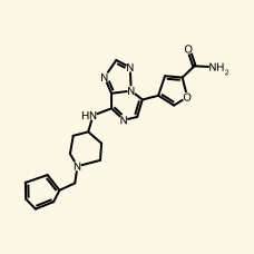 NC(=O)c1cc(-c2cnc(NC3CCN(Cc4ccccc4)CC3)c3ncnn23)co1